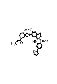 C=CC(=O)N1CCCC2(C1)CN(c1cc3c(Nc4cc(-c5ccco5)ccc4OC)ncnc3cc1OC)C2